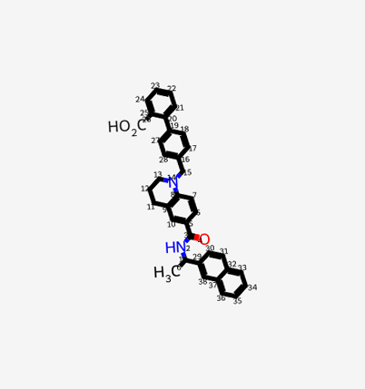 CC(NC(=O)c1ccc2c(c1)CCCN2Cc1ccc(-c2ccccc2C(=O)O)cc1)c1ccc2ccccc2c1